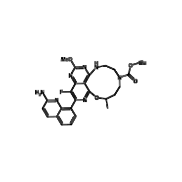 COc1nc2c3c(nc(-c4cccc5ccc(N)nc45)c(F)c3n1)OC(C)CCN(C(=O)OC(C)(C)C)CCN2